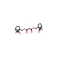 CC1(C)C2CCC1(COC(=O)CC(=O)OCC13CCC(CC1=O)C3(C)C)C(=O)C2